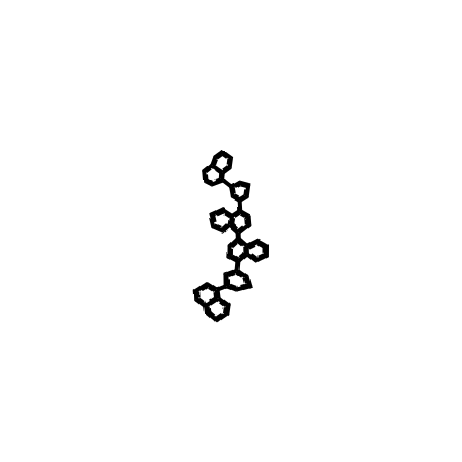 c1cc(-c2cccc3ccccc23)cc(-c2ccc(-c3ccc(-c4cccc(-c5cccc6ccccc56)c4)c4ccccc34)c3ccccc23)c1